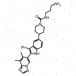 Cc1c(-c2[nH]c3ccc(C4CCN(C(=O)NCCCN)CC4)cc3c2C(C)C)cn2ncnc2c1C